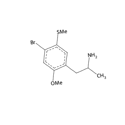 COc1cc(Br)c(SC)cc1CC(C)N